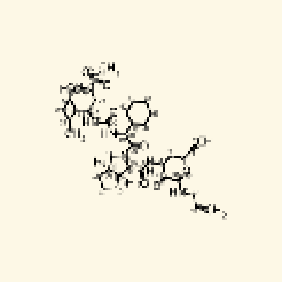 C#CCCC(NC(=O)[C@@H]1[C@H]2CCC[C@H]2CN1C(=O)[C@@H](NC(=O)N[C@H](CN(C)S(C)(=O)=O)C12C(C)C1C2C)C1CCCCC1)C(=O)C(=O)NCC=C